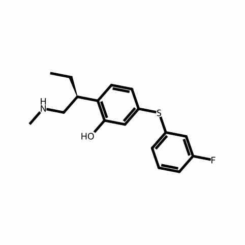 CC[C@H](CNC)c1ccc(Sc2cccc(F)c2)cc1O